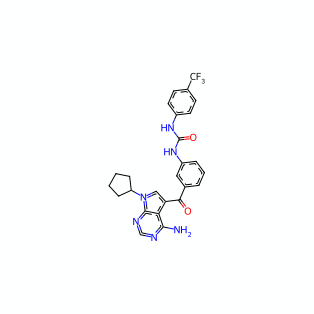 Nc1ncnc2c1c(C(=O)c1cccc(NC(=O)Nc3ccc(C(F)(F)F)cc3)c1)cn2C1CCCC1